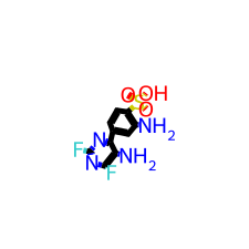 Nc1cc(-c2nc(F)nc(F)c2N)ccc1S(=O)(=O)O